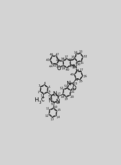 Cc1ccccc1-c1nc(-c2ccccc2)nc(-c2ccc3oc(-c4cccc(-n5c6ccccc6c6cc7c(cc65)oc5ccccc57)c4)nc3c2)n1